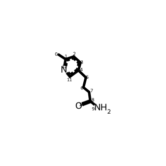 Cc1ccc(CCCC(N)=O)cn1